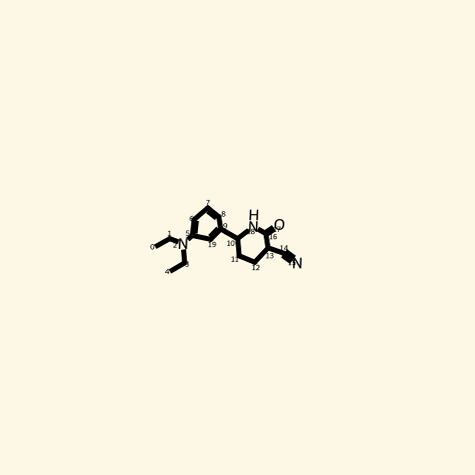 CCN(CC)c1cccc(C2CCC(C#N)C(=O)N2)c1